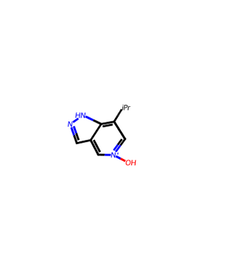 CC(C)c1c[n+](O)cc2cn[nH]c12